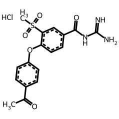 CC(=O)c1ccc(Oc2ccc(C(=O)NC(=N)N)cc2S(C)(=O)=O)cc1.Cl